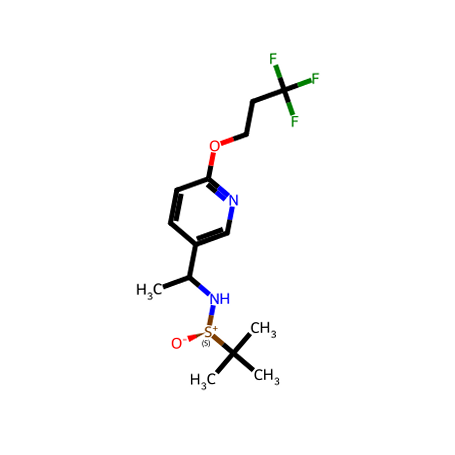 CC(N[S@+]([O-])C(C)(C)C)c1ccc(OCCC(F)(F)F)nc1